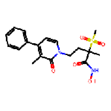 Cc1c(-c2ccccc2)ccn(CCC(C)(C(=O)NO)S(C)(=O)=O)c1=O